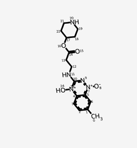 Cc1ccc2c(c1)[n+]([O-])nc(NCCC(=O)OC1CCNCC1)[n+]2O